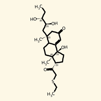 CCSCC(=O)[C@H]1CC[C@@]2(O)C3=CC(=O)C[C@](C)(C[C@H](O)[C@H](O)CC)C3CC[C@]12C